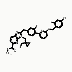 COC(=O)c1ccc2nc(Cc3ccc(-c4cccc(OCc5ccc(Cl)cc5F)n4)c(F)c3)n(CC3(CF)CC3)c2n1